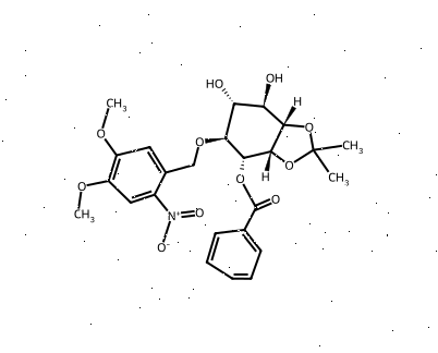 COc1cc(CO[C@H]2[C@H](O)[C@@H](O)[C@@H]3OC(C)(C)O[C@@H]3[C@@H]2OC(=O)c2ccccc2)c([N+](=O)[O-])cc1OC